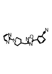 N#Cc1cccc(-c2nc(CC3CCN(c4ncccn4)CC3)no2)c1